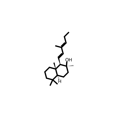 CC/C=C(C)/C=C/[C@@H]1[C@@]2(C)CCCC(C)(C)[C@@H]2CC[C@]1(C)O